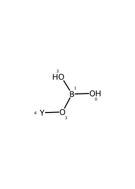 OB(O)[O][Y]